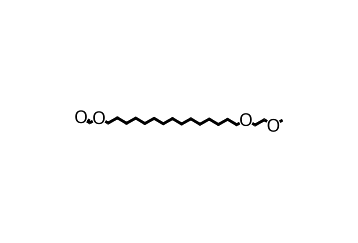 COCCOCCCCCCCCCCCCCCCOC=O